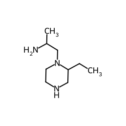 CCC1CNCCN1CC(C)N